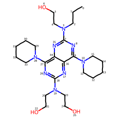 CCCN(CCO)c1nc(N2CCCCC2)c2nc(N(CCO)CCO)nc(N3CCCCC3)c2n1